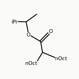 CCCCCCCCC(CCCCCCCC)C(=O)OC(C)C(C)C